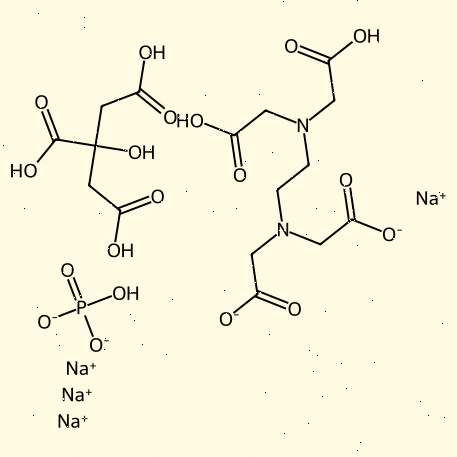 O=C(O)CC(O)(CC(=O)O)C(=O)O.O=C([O-])CN(CCN(CC(=O)O)CC(=O)O)CC(=O)[O-].O=P([O-])([O-])O.[Na+].[Na+].[Na+].[Na+]